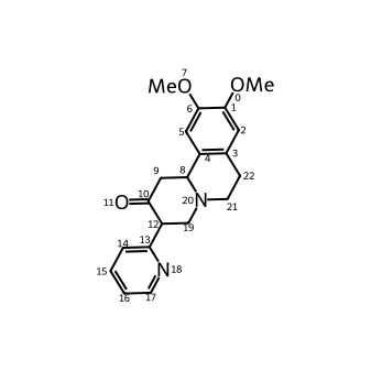 COc1cc2c(cc1OC)C1CC(=O)C(c3ccccn3)CN1CC2